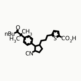 [C-]#[N+]C1CCC(CCCc2ccc(C(=O)O)s2)C1c1ccc(C(C)(C)C(=O)CCCC)cc1